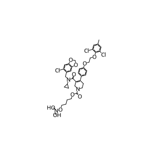 Cc1cc(Cl)c(OCCOc2ccc(C3=C(C(=O)N(Cc4cc5c(cc4Cl)OCO5)C4CC4)CN(C(=O)OCCCCON(O)O)CC3)cc2)c(Cl)c1